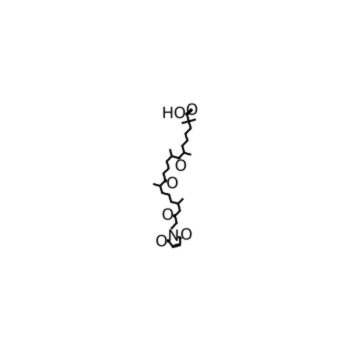 CC(CCCC(C)C(=O)CCCC(C)C(=O)C(C)CCCCC(C)(C)C(=O)O)CC(=O)CCN1C(=O)C=CC1=O